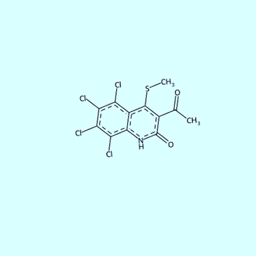 CSc1c(C(C)=O)c(=O)[nH]c2c(Cl)c(Cl)c(Cl)c(Cl)c12